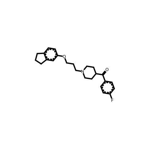 O=C(c1ccc(F)cc1)C1CCN(CCCOc2ccc3c(c2)CCC3)CC1